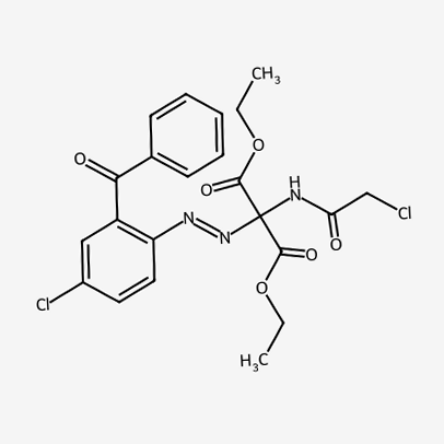 CCOC(=O)C(/N=N/c1ccc(Cl)cc1C(=O)c1ccccc1)(NC(=O)CCl)C(=O)OCC